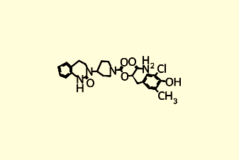 Cc1cc(C[C@@H](OC(=O)N2CCC(N3CCc4ccccc4NC3=O)CC2)C(N)=O)cc(Cl)c1O